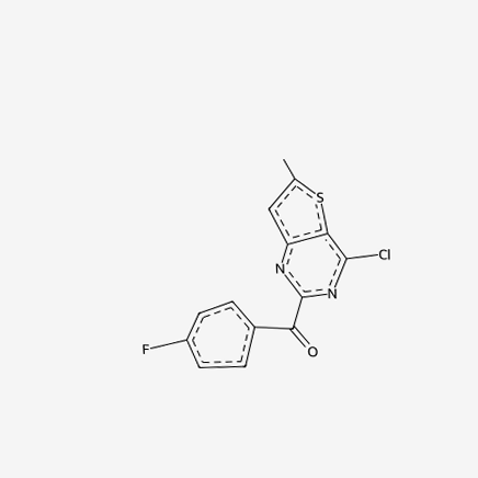 Cc1cc2nc(C(=O)c3ccc(F)cc3)nc(Cl)c2s1